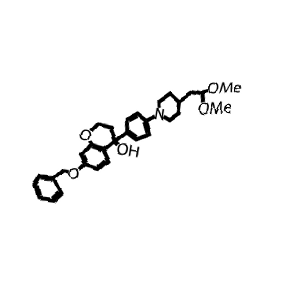 COC(CC1CCN(c2ccc(C3(O)CCOc4cc(OCc5ccccc5)ccc43)cc2)CC1)OC